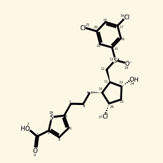 O=C(O)c1ccc(CCC[C@@H]2[C@@H](C[S+]([O-])c3cc(Cl)cc(Cl)c3)[C@H](O)C[C@@H]2Cl)s1